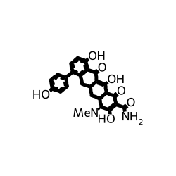 CN[C@@H]1C(O)=C(C(N)=O)C(=O)C2C(O)=C3C(=O)c4c(O)ccc(-c5ccc(O)cc5)c4CC3CC21